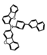 c1ccc2cc(-c3ccc(N(c4ccc5oc6ccccc6c5c4)c4cccc5c4sc4ccccc45)cc3)ccc2c1